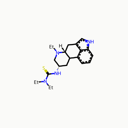 CCN(CC)C(=S)N[C@H]1CC2c3cccc4[nH]cc(c34)C[C@H]2N(CC)C1